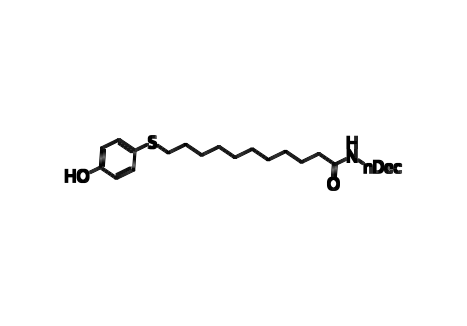 CCCCCCCCCCNC(=O)CCCCCCCCCCSc1ccc(O)cc1